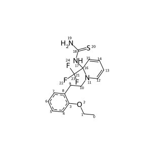 CCOc1ccccc1CCN1C=CC=CC1(NC(N)=S)C(F)(F)F